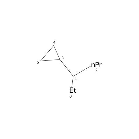 [CH2]CC(CCC)C1CC1